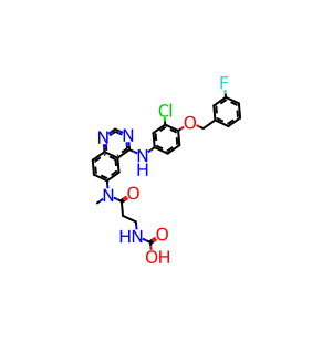 CN(C(=O)CCNC(=O)O)c1ccc2ncnc(Nc3ccc(OCc4cccc(F)c4)c(Cl)c3)c2c1